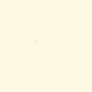 O=C(O)c1cc(C[C@H](O)[C@H](O)c2ccc(O)cc2)c(O)c(O)c1-c1ccc(O)c(O)c1